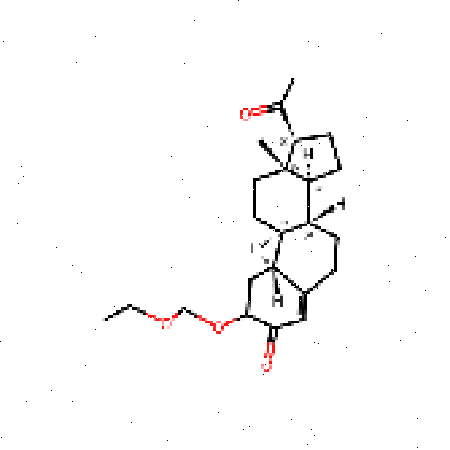 CCOCOC1C[C@H]2C(=CC1=O)CC[C@@H]1[C@@H]2CC[C@]2(C)[C@@H](C(C)=O)CC[C@@H]12